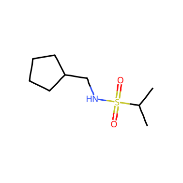 CC(C)S(=O)(=O)NCC1CCCC1